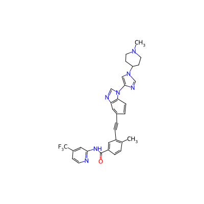 Cc1ccc(C(=O)Nc2cc(C(F)(F)F)ccn2)cc1C#Cc1ccc2c(c1)ncn2-c1cn(C2CCN(C)CC2)cn1